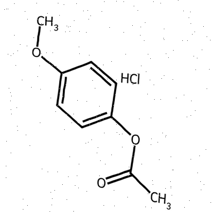 COc1ccc(OC(C)=O)cc1.Cl